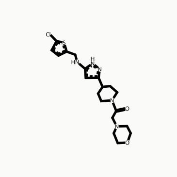 O=C(CN1CCOCC1)N1CCC(c2cc(NCc3ccc(Cl)s3)[nH]n2)CC1